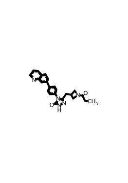 CCC(=O)N1CC(Cc2n[nH]c(=O)n2-c2ccc(-c3ccc4cccnc4c3)cc2)C1